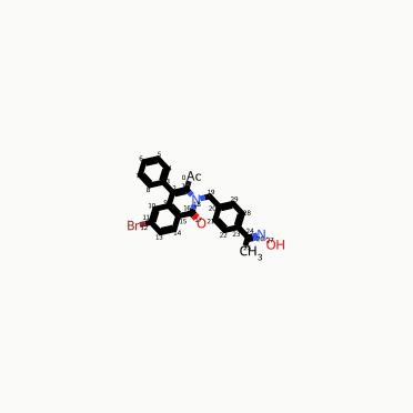 CC(=O)c1c(-c2ccccc2)c2cc(Br)ccc2c(=O)n1Cc1ccc(/C(C)=N/O)cc1